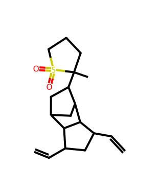 C=CC1CC(C=C)C2C3CC(CC3C3(C)CCCS3(=O)=O)C12